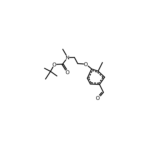 Cc1cc(C=O)ccc1OCCN(C)C(=O)OC(C)(C)C